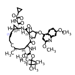 CC[C@@H]1C[C@H](C)CC/C=C\[C@@H]2C[C@@]2(C(=O)NS(=O)(=O)C2CC2)NC(=O)[C@@H]2C[C@@H](Oc3cc(OC)nc4cc(OC)ccc34)CN2C(=O)[C@H]1NC(=O)OC(C)(C)C(C)(F)F